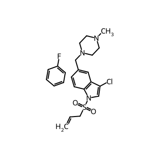 C=CCS(=O)(=O)n1cc(Cl)c2cc(CN3CCN(C)CC3)ccc21.Fc1ccccc1